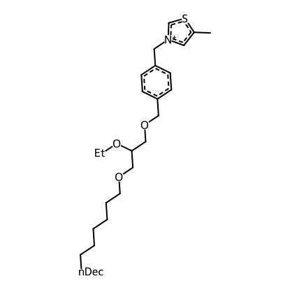 CCCCCCCCCCCCCCCCOCC(COCc1ccc(C[n+]2csc(C)c2)cc1)OCC